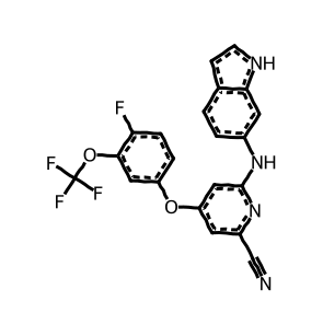 N#Cc1cc(Oc2ccc(F)c(OC(F)(F)F)c2)cc(Nc2ccc3cc[nH]c3c2)n1